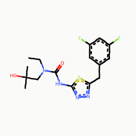 CCN(CC(C)(C)O)C(=O)Nc1nnc(Cc2cc(F)cc(F)c2)s1